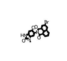 Cn1c(=O)[nH]c2cc(Cl)c(N3C(=O)c4cccc5cc(Br)cc(c45)C3=O)cc21